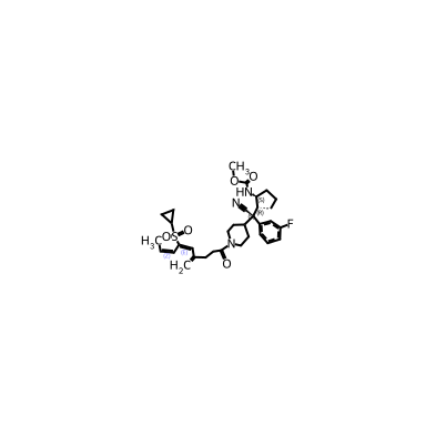 C=C(/C=C(\C=C/C)S(=O)(=O)C1CC1)CCC(=O)N1CCC([C@@](C#N)(c2cccc(F)c2)[C@H]2CCC[C@@H]2NC(=O)OC)CC1